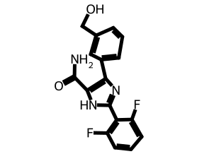 NC(=O)c1[nH]c(-c2c(F)cccc2F)nc1-c1cccc(CO)c1